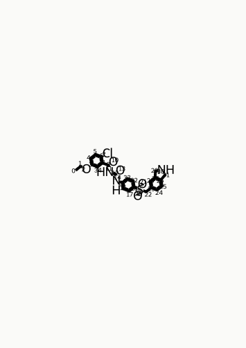 CCOc1ccc(Cl)c(C(=O)NC(=O)Nc2ccc(S(=O)(=O)Cc3ccc4c(c3)CNC4)cc2)c1